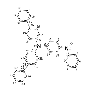 CN(c1ccccc1)c1ccc(N(c2ccc(-c3ccccc3)cc2)c2ccc(-c3ccccc3)cc2)cc1